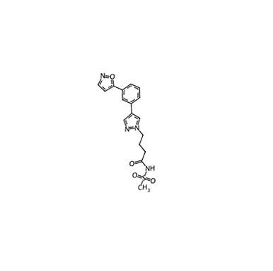 CS(=O)(=O)NC(=O)CCCn1cc(-c2cccc(-c3ccno3)c2)cn1